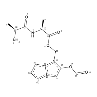 C[C@H](N)C(=O)N[C@@H](C)C(=O)OCn1c(OC=O)cc2occc21